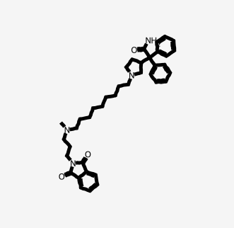 CN(CCCCCCCCCN1CCC(C(C(N)=O)(c2ccccc2)c2ccccc2)C1)CCCN1C(=O)c2ccccc2C1=O